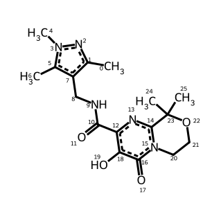 Cc1nn(C)c(C)c1CNC(=O)c1nc2n(c(=O)c1O)CCOC2(C)C